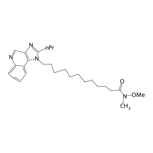 CCCc1nc2cnc3ccccc3c2n1CCCCCCCCCCCC(=O)N(C)OC